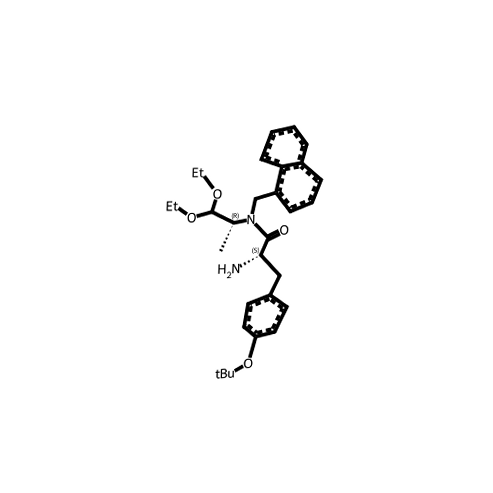 CCOC(OCC)[C@@H](C)N(Cc1cccc2ccccc12)C(=O)[C@@H](N)Cc1ccc(OC(C)(C)C)cc1